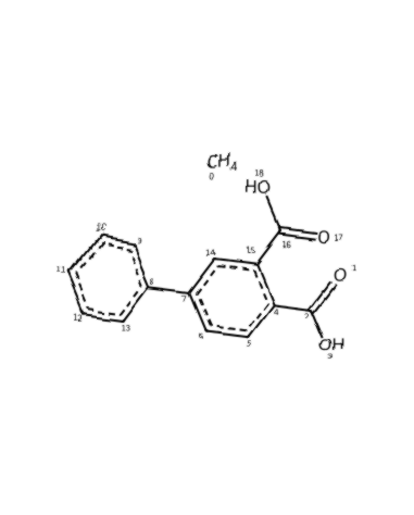 C.O=C(O)c1ccc(-c2ccccc2)cc1C(=O)O